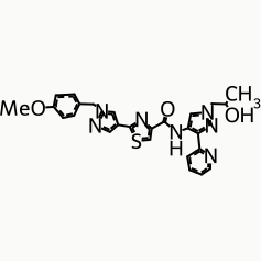 COc1ccc(Cn2cc(-c3nc(C(=O)Nc4cn(CC(C)O)nc4-c4ccccn4)cs3)cn2)cc1